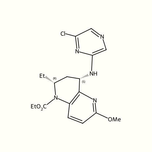 CCOC(=O)N1c2ccc(OC)nc2[C@@H](Nc2cncc(Cl)n2)C[C@H]1CC